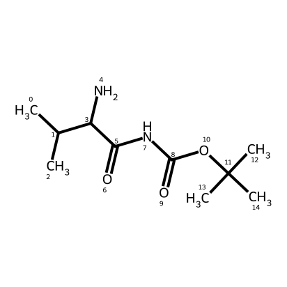 CC(C)C(N)C(=O)NC(=O)OC(C)(C)C